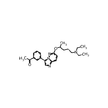 CCN(CC)CCCC(C)Oc1ccc2ncc(-c3cccc(C(C)=O)c3)n2n1